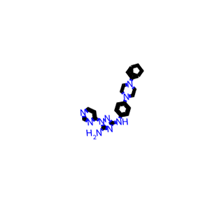 Nc1nc(Nc2ccc(N3CCN(C4CC5CCC4C5)CC3)cc2)nn1-c1ccncn1